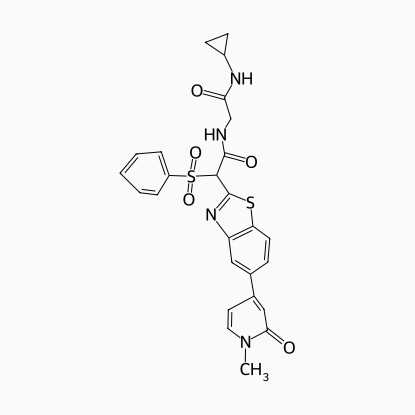 Cn1ccc(-c2ccc3sc(C(C(=O)NCC(=O)NC4CC4)S(=O)(=O)c4ccccc4)nc3c2)cc1=O